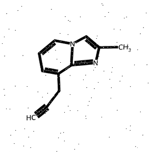 C#CCc1cccn2cc(C)nc12